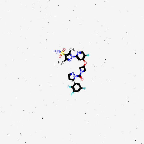 Cc1nn(-c2cc(OC3CN(C(=O)N4N=CC[C@H]4c4cc(F)cc(F)c4F)C3)c(F)cn2)c(C)c1S(N)(=O)=O